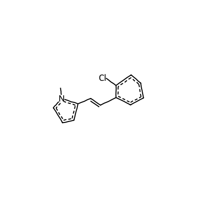 Cn1cccc1C=Cc1ccccc1Cl